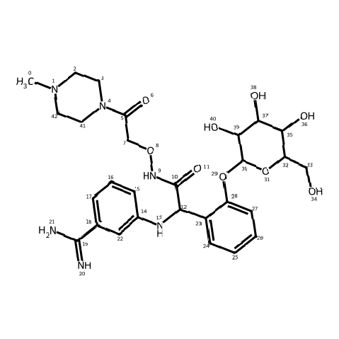 CN1CCN(C(=O)CONC(=O)C(Nc2cccc(C(=N)N)c2)c2ccccc2OC2OC(CO)C(O)C(O)C2O)CC1